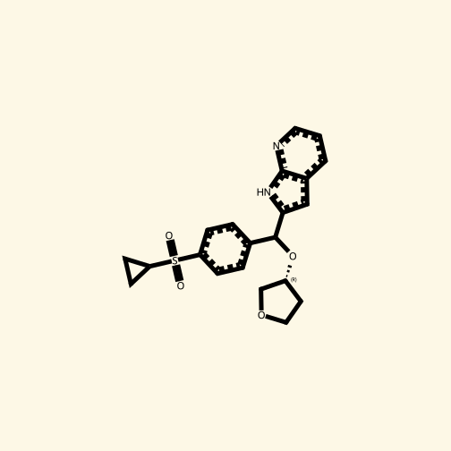 O=S(=O)(c1ccc(C(O[C@@H]2CCOC2)c2cc3cccnc3[nH]2)cc1)C1CC1